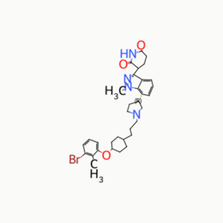 Cc1c(Br)cccc1OC1CCC(CCCN2CC[C@H](c3cccc4c(C5CCC(=O)NC5=O)nn(C)c34)C2)CC1